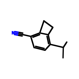 CC(C)c1ccc(C#N)c2c1CC2